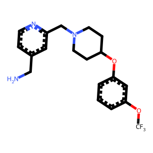 NCc1ccnc(CN2CCC(Oc3cccc(OC(F)(F)F)c3)CC2)c1